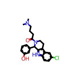 CN(C)CCCC(=O)N1CCc2c([nH]c3ccc(Cl)cc23)C1c1cccc(O)c1